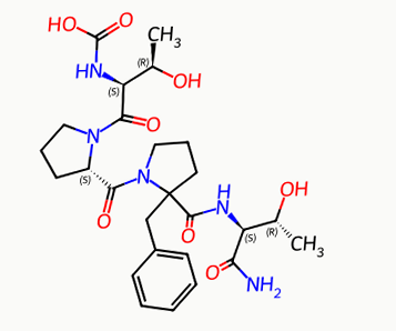 C[C@@H](O)[C@H](NC(=O)C1(Cc2ccccc2)CCCN1C(=O)[C@@H]1CCCN1C(=O)[C@@H](NC(=O)O)[C@@H](C)O)C(N)=O